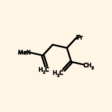 C=C(CC(C(=C)C)C(C)C)NC